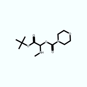 CNC(OC(=O)N1CCOCC1)C(=O)OC(C)(C)C